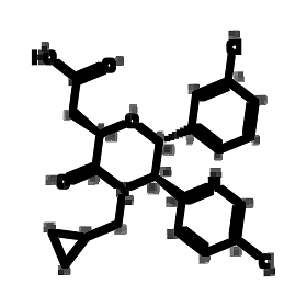 O=C(O)C[C@H]1O[C@H](c2cccc(Cl)c2)[C@@H](c2ccc(Cl)cn2)N(CC2CC2)C1=O